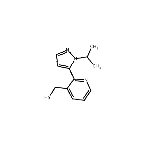 CC(C)n1nccc1-c1ncccc1CS